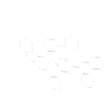 c1ccc(-c2nc(-c3cc4ccccc4c4ccccc34)nc(-c3c(-c4cccc5sc6ccccc6c45)ccc4oc5ccccc5c34)n2)cc1